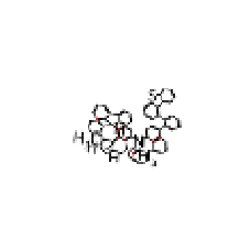 C[C@H]1C[C@@H]2C[C@@H]3C[C@H](C1)C21c2cc(N(c4ccc(-c5ccccc5-c5cccc6sc7ccccc7c56)cc4)c4ccccc4-c4ccccc4)ccc2C2(c4ccccc4-c4ccccc42)c2ccccc2[C@]31C